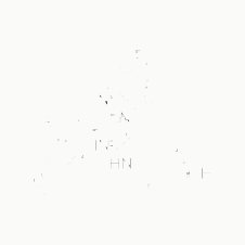 COc1ccc(CC(NC(=O)NC2CCC(O)CC2)c2nc3ccc(F)cc3[nH]2)c(F)c1